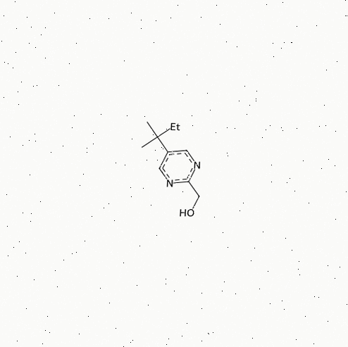 CCC(C)(C)c1cnc(CO)nc1